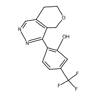 Oc1cc(C(F)(F)F)ccc1-c1nncc2c1COCC2